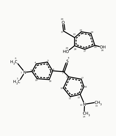 CN(C)c1ccc(C(=S)c2ccc(N(C)C)cc2)cc1.O=Cc1ccc(O)cc1O